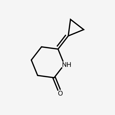 O=C1CCCC(=C2CC2)N1